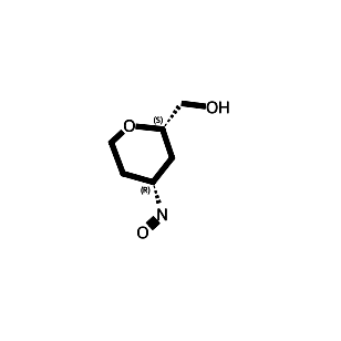 O=N[C@@H]1CCO[C@H](CO)C1